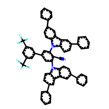 N#Cc1c(-n2c3ccc(-c4ccccc4)cc3c3cc(-c4ccccc4)ccc32)cc(-c2cc(C(F)(F)F)cc(C(F)(F)F)c2)cc1-n1c2ccc(-c3ccccc3)cc2c2cc(-c3ccccc3)ccc21